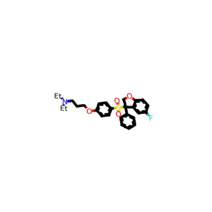 CCN(CC)CCCOc1ccc(S(=O)(=O)C2(c3ccccc3)COc3ccc(F)cc32)cc1